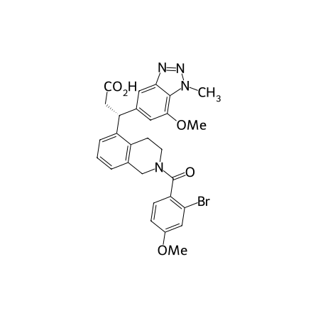 COc1ccc(C(=O)N2CCc3c(cccc3[C@H](CC(=O)O)c3cc(OC)c4c(c3)nnn4C)C2)c(Br)c1